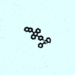 C1=CC(c2nc3c(n2-c2ccc(-c4c5ccccc5c(-c5ccc6ccccc6c5)c5ccccc45)cc2)C=CCC3)=CCC1